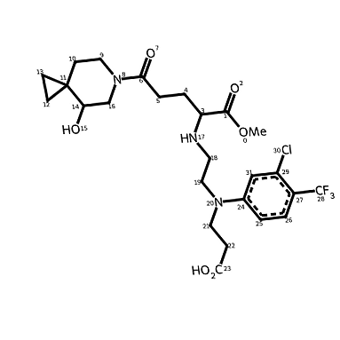 COC(=O)C(CCC(=O)N1CCC2(CC2)C(O)C1)NCCN(CCC(=O)O)c1ccc(C(F)(F)F)c(Cl)c1